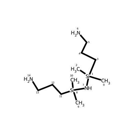 C[Si](C)(CCCN)N[Si](C)(C)CCCN